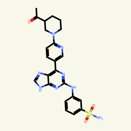 CC(=O)C1CCCN(c2ccc(-c3nc(Nc4cccc(S(N)(=O)=O)c4)nc4[nH]cnc34)cn2)C1